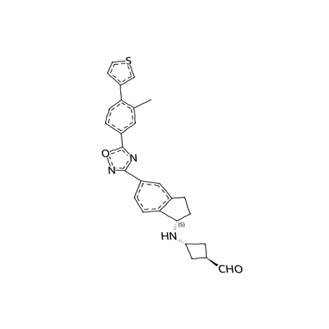 Cc1cc(-c2nc(-c3ccc4c(c3)CC[C@@H]4N[C@H]3C[C@H](C=O)C3)no2)ccc1-c1ccsc1